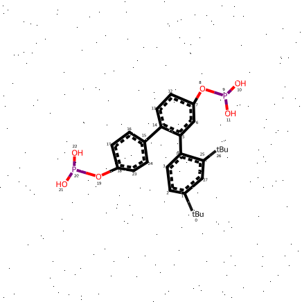 CC(C)(C)c1ccc(-c2cc(OP(O)O)ccc2-c2ccc(OP(O)O)cc2)c(C(C)(C)C)c1